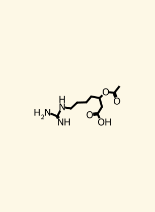 CC(=O)OC(CCCCNC(=N)N)CC(=O)O